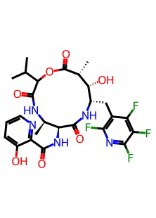 CC(C)C1OC(=O)[C@H](C)[C@H](O)[C@H](Cc2c(F)nc(F)c(F)c2F)NC(=O)[C@@H](NC(=O)c2ncccc2O)[C@@H](C)NC1=O